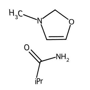 CC(C)C(N)=O.CN1C=COC1